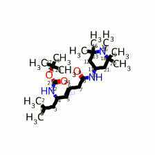 CC(C)CC(/C=C/CC(=O)NC1CC(C)(C)N(C)C(C)(C)C1)NC(=O)OC(C)(C)C